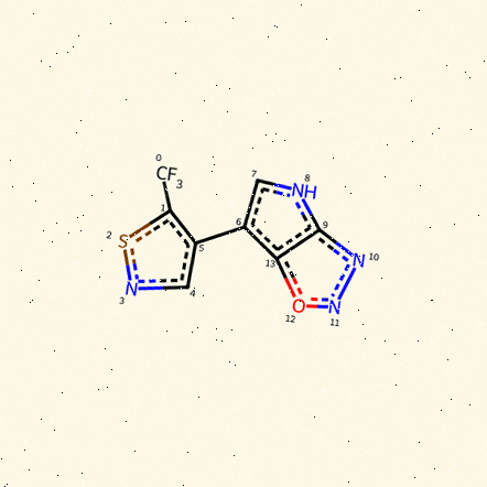 FC(F)(F)c1sncc1-c1c[nH]c2nnoc12